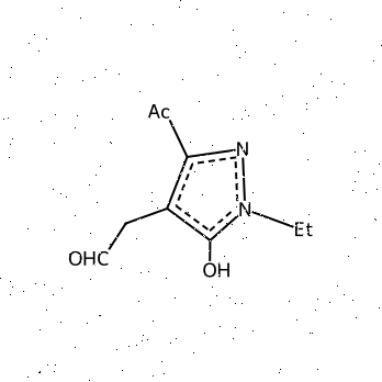 CCn1nc(C(C)=O)c(CC=O)c1O